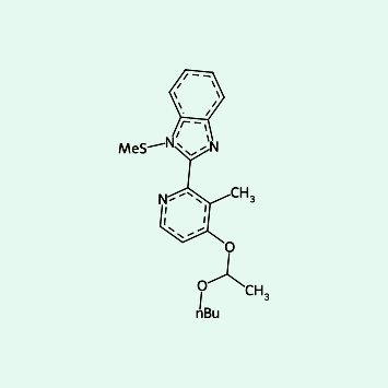 CCCCOC(C)Oc1ccnc(-c2nc3ccccc3n2SC)c1C